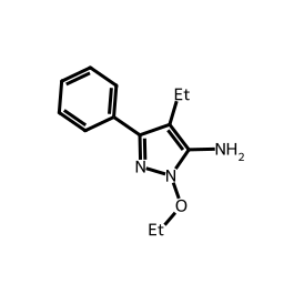 [CH2]Cc1c(-c2ccccc2)nn(OCC)c1N